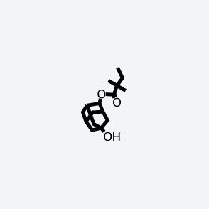 CCC(C)(C)C(=O)OC1C2CC3CC1CC(O)(C3)C2